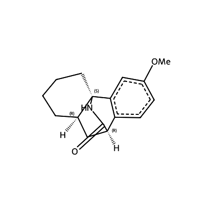 COc1ccc2c(c1)[C@]13CCCC[C@@H]1C[C@H]2C(=O)N3